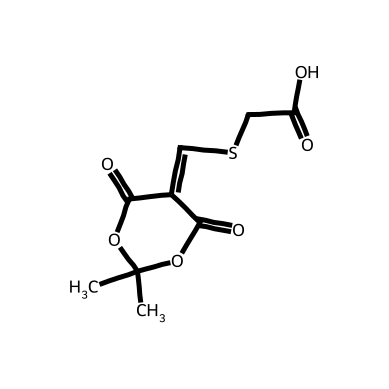 CC1(C)OC(=O)C(=CSCC(=O)O)C(=O)O1